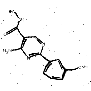 COc1cccc(-c2ncc(C(=O)NC(C)C)c(N)n2)c1